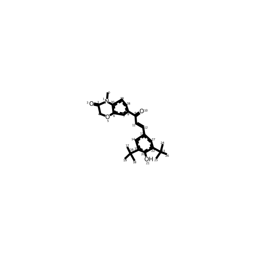 CN1C(=O)COc2cc(C(=O)C=Cc3cc(C(C)(C)C)c(O)c(C(C)(C)C)c3)ccc21